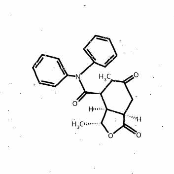 C[C@@H]1C(=O)C[C@H]2C(=O)O[C@H](C)[C@H]2[C@H]1C(=O)N(c1ccccc1)c1ccccc1